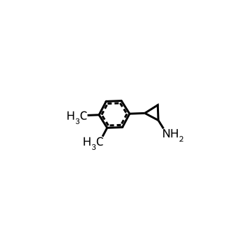 Cc1ccc(C2CC2N)cc1C